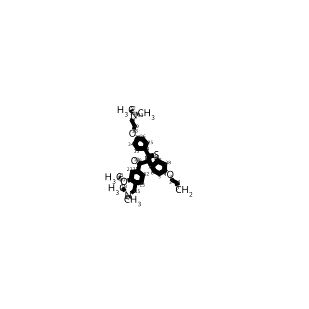 C=CCOc1ccc2c(C(=O)c3ccc(CN(C)C)c(OC)c3)c(-c3ccc(OCCN(C)C)cc3)sc2c1